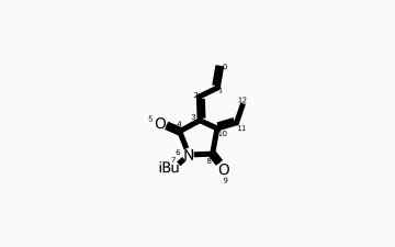 C=C/C=C1/C(=O)N(C(C)CC)C(=O)/C1=C/C